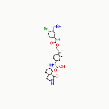 CNCc1cc(NC(=O)OC[C@H](C)c2ccc(C(Nc3ccc4cc[nH]c(=O)c4c3)C(=O)O)cc2C)ccc1Br